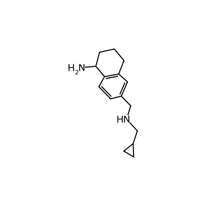 NC1CCCc2cc(CNCC3CC3)ccc21